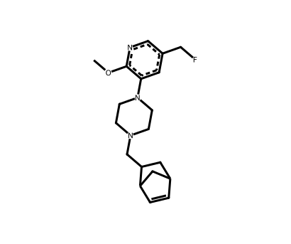 COc1ncc(CF)cc1N1CCN(CC2CC3C=CC2C3)CC1